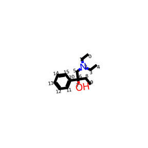 CCN(CC)CC(O)(CC)c1ccccc1